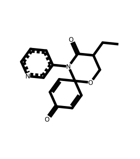 CCC1COC2(C=CC(=O)C=C2)N(c2cccnc2)C1=O